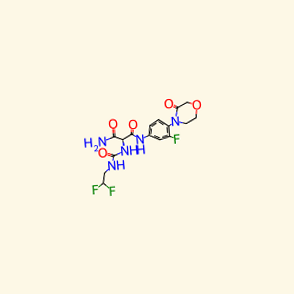 NC(=O)[C@H](NC(=O)NCC(F)F)C(=O)Nc1ccc(N2CCOCC2=O)c(F)c1